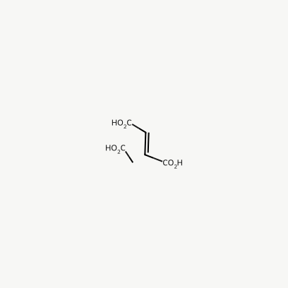 CC(=O)O.O=C(O)/C=C/C(=O)O